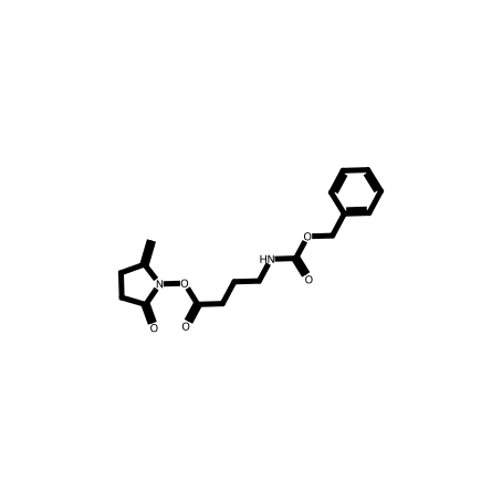 C=C1CCC(=O)N1OC(=O)CCCNC(=O)OCc1ccccc1